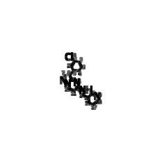 Clc1cccc(-c2cnn3ccc(NCc4cccnc4)nc23)c1